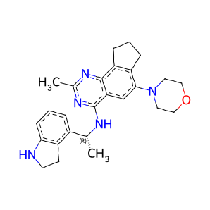 Cc1nc(N[C@H](C)c2cccc3c2CCN3)c2cc(N3CCOCC3)c3c(c2n1)CCC3